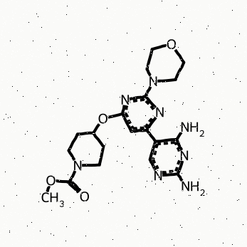 COC(=O)N1CCC(Oc2cc(-c3cnc(N)nc3N)nc(N3CCOCC3)n2)CC1